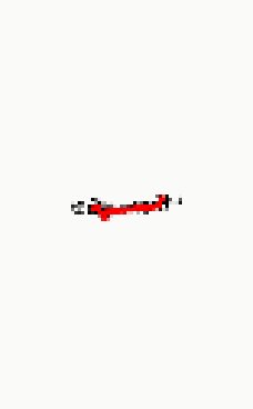 CC(C)(C)OC(=O)CCCCOCCOCCOCCCCCCOc1cccc(CNC(=O)OC(C)(C)C)c1